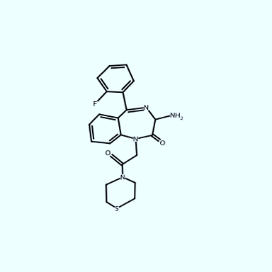 NC1N=C(c2ccccc2F)c2ccccc2N(CC(=O)N2CCSCC2)C1=O